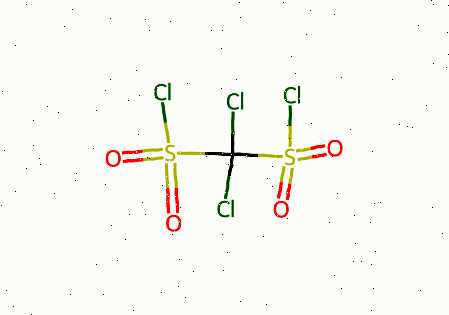 O=S(=O)(Cl)C(Cl)(Cl)S(=O)(=O)Cl